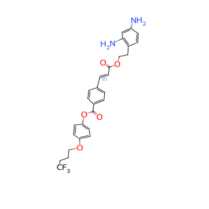 Nc1ccc(CCOC(=O)/C=C/c2ccc(C(=O)Oc3ccc(OCCCC(F)(F)F)cc3)cc2)c(N)c1